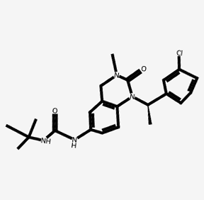 C[C@H](c1cccc(Cl)c1)N1C(=O)N(C)Cc2cc(NC(=O)NC(C)(C)C)ccc21